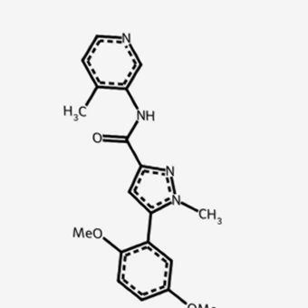 COc1ccc(OC)c(-c2cc(C(=O)Nc3cnccc3C)nn2C)c1